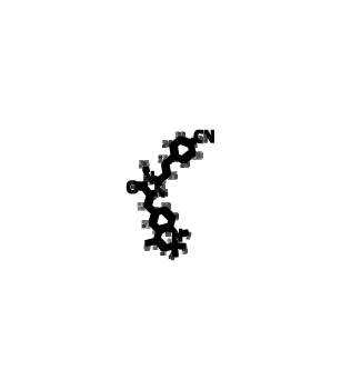 CC1=CC(C)(C)N(C)c2ccc(/C=C3N=C(/C=C/c4ccc(C#N)cc4)N(C)C\3=O)cc21